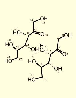 O=C(CO)[C@@H](O)[C@H](O)[C@H](O)CO.O=C(CO)[C@@H](O)[C@H](O)[C@H](O)CO